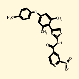 Cc1ccc(Oc2cc(C)c(-c3csc(NC(=O)c4ccnc([N+](=O)[O-])c4)n3)c(C)c2)cc1